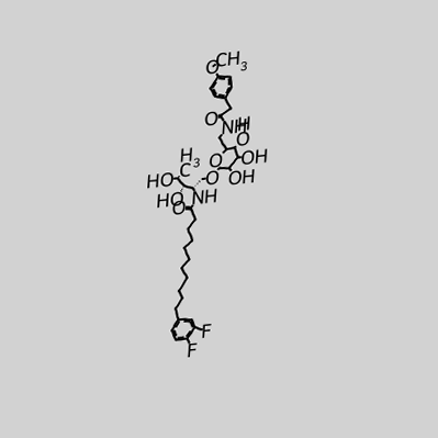 COc1ccc(CC(=O)NCC2OC(OC[C@H](NC(=O)CCCCCCCCCCc3ccc(F)c(F)c3)[C@H](O)[C@@H](C)O)C(O)C(O)C2O)cc1